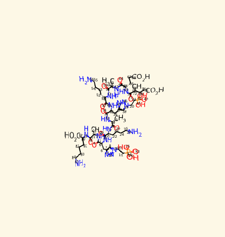 C[C@H](NC(=O)[C@H](Cc1cn(CCP(=O)(O)O)nn1)NC(=O)[C@H](CCCCN)NC(=O)[C@H](C)NC(=O)[C@H](Cc1cn(CCP(=O)(O)O)nn1)NC(=O)[C@H](CCCCN)NC(=O)[C@H](C)NC(=O)[C@H](CCC(=O)O)NC(=O)[C@@H](C)CCC(=O)O)C(=O)N[C@@H](CCCCN)C(=O)O